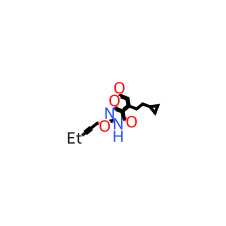 CCC#CCOc1nc2oc(=O)cc(CCC3CC3)c2c(=O)[nH]1